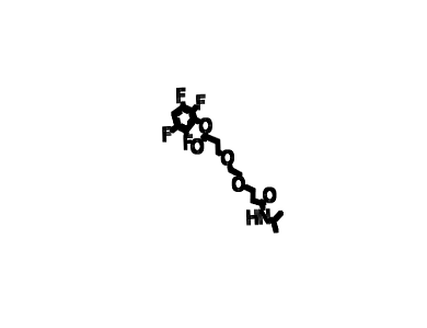 CC(C)NC(=O)CCOCCOCCC(=O)Oc1c(F)c(F)cc(F)c1F